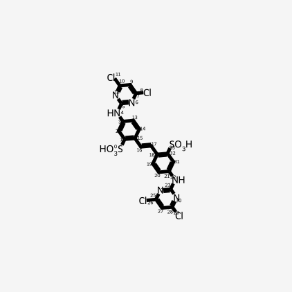 O=S(=O)(O)c1cc(Nc2nc(Cl)cc(Cl)n2)ccc1C=Cc1ccc(Nc2nc(Cl)cc(Cl)n2)cc1S(=O)(=O)O